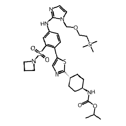 CC(C)OC(=O)N[C@H]1CC[C@H](c2ncc(-c3ccc(Nc4nccn4COCC[Si](C)(C)C)cc3S(=O)(=O)N3CCC3)s2)CC1